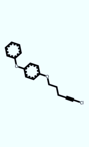 ClC#CCCCOc1ccc(Oc2ccccc2)cc1